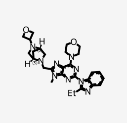 CCc1nc2ccccc2n1-c1nc(N2CCOCC2)c2nc(CN3C[C@@H]4C[C@H]3CN4C3COC3)n(C)c2n1